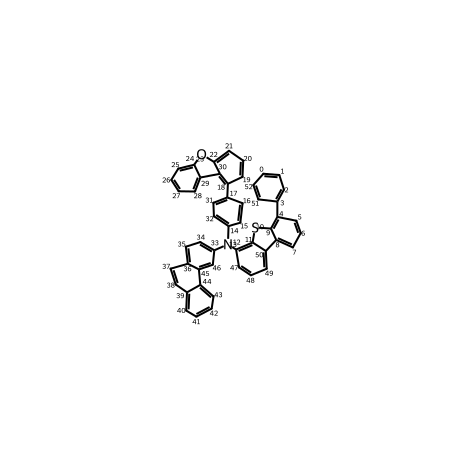 c1ccc(-c2cccc3c2sc2c(N(c4ccc(-c5cccc6oc7ccccc7c56)cc4)c4ccc5ccc6ccccc6c5c4)cccc23)cc1